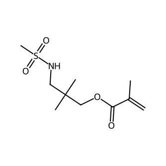 C=C(C)C(=O)OCC(C)(C)CNS(C)(=O)=O